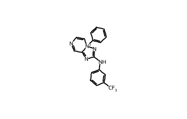 FC(F)(F)c1cccc(NC2=N[N+]3(c4ccccc4)C=CN=CC3=N2)c1